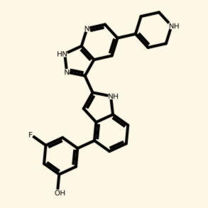 Oc1cc(F)cc(-c2cccc3[nH]c(-c4n[nH]c5ncc(C6=CCNCC6)cc45)cc23)c1